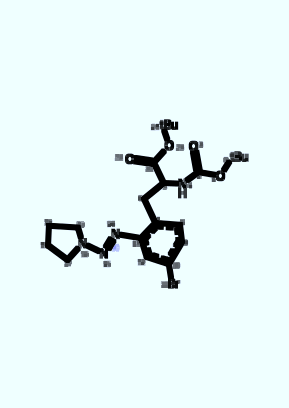 CC(C)(C)OC(=O)NC(Cc1ccc(Br)cc1/N=N/N1CCCC1)C(=O)OC(C)(C)C